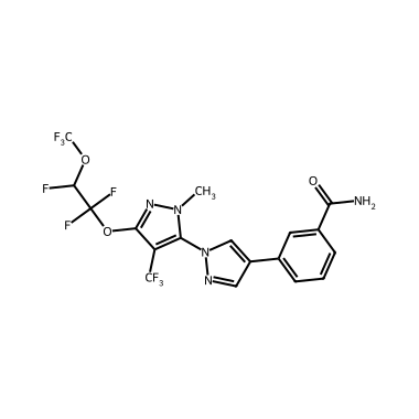 Cn1nc(OC(F)(F)C(F)OC(F)(F)F)c(C(F)(F)F)c1-n1cc(-c2cccc(C(N)=O)c2)cn1